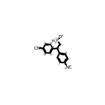 [C-]#[N+]c1ccc(C(C[PH2]=O)c2ccc([N+]#[C-])cc2)cc1